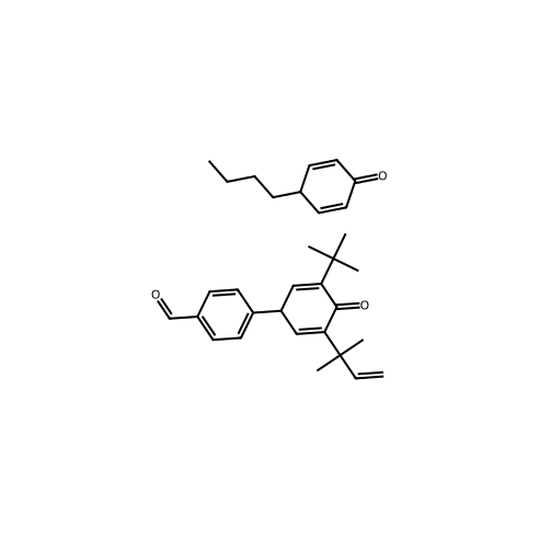 C=CC(C)(C)C1=CC(c2ccc(C=O)cc2)C=C(C(C)(C)C)C1=O.CCCCC1C=CC(=O)C=C1